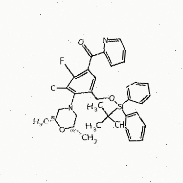 C[C@@H]1CN(c2c(CO[Si](c3ccccc3)(c3ccccc3)C(C)(C)C)cc(C(=O)c3ccccn3)c(F)c2Cl)C[C@H](C)O1